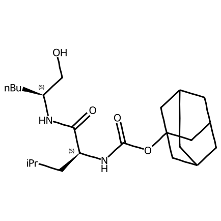 CCCC[C@@H](CO)NC(=O)[C@H](CC(C)C)NC(=O)OC12CC3CC(CC(C3)C1)C2